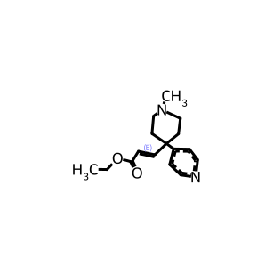 CCOC(=O)/C=C/C1(c2ccncc2)CCN(C)CC1